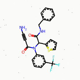 NC#CC(=O)N(c1cccc(C(F)(F)F)c1)C(C(=O)NCc1ccccc1)c1cccs1